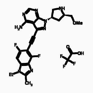 CCn1c(C)nc2c(F)c(C#Cc3nn([C@@H]4CN[C@@H](COC)C4)c4ncnc(N)c34)c(F)cc21.O=C(O)C(F)(F)F